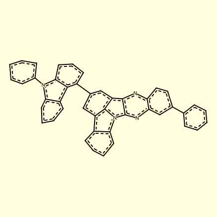 c1ccc(-c2ccc3nc4c5cc(-c6cccc7c6c6ccccc6n7-c6ccccc6)cc6c7ccccc7n(c4nc3c2)c65)cc1